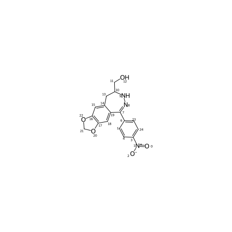 O=[N+]([O-])c1ccc(C2=NNC(CO)Cc3cc4c(cc32)OCO4)cc1